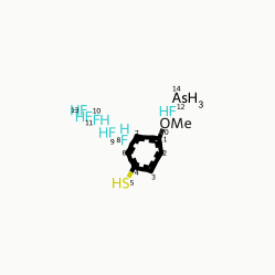 COc1ccc(S)cc1.F.F.F.F.F.F.[AsH3]